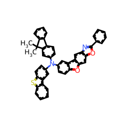 CC1(C)c2ccccc2-c2ccc(N(c3ccc4oc5cc6oc(-c7ccccc7)nc6cc5c4c3)c3ccc4sc5ccccc5c4c3)cc21